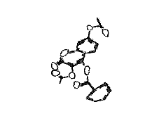 CC(=O)Oc1ccc2c(OC(=O)c3ccccc3)c(OC(C)=O)c(=O)oc2c1